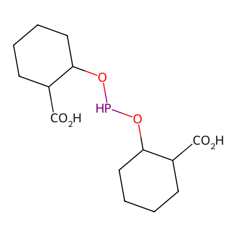 O=C(O)C1CCCCC1OPOC1CCCCC1C(=O)O